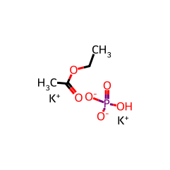 CCOC(C)=O.O=P([O-])([O-])O.[K+].[K+]